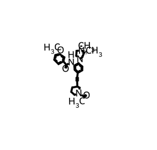 COc1cccc(C(=O)Nc2cc(C#CC3CCCN(C(C)=O)C3)ccc2N2CCN(C)[C@@H](C)C2)c1